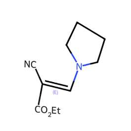 CCOC(=O)/C(C#N)=C/N1CCCC1